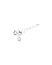 CCCCCCCCCCCCCCc1ccc(Oc2ccccc2)c(-c2ccccc2)c1Br